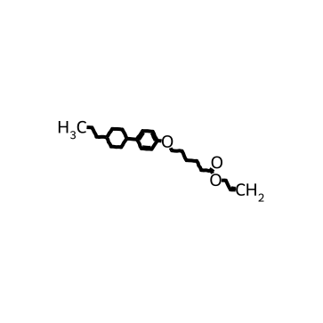 C=CCOC(=O)CCCCCOc1ccc(C2CCC(CCC)CC2)cc1